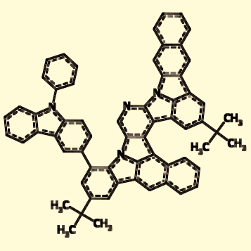 CC(C)(C)c1cc(-c2ccc3c(c2)c2ccccc2n3-c2ccccc2)c2c(c1)c1cc3ccccc3c3c4c5c6cc(C(C)(C)C)cc7c8cc9ccccc9cc8n(c5ncc4n2c13)c76